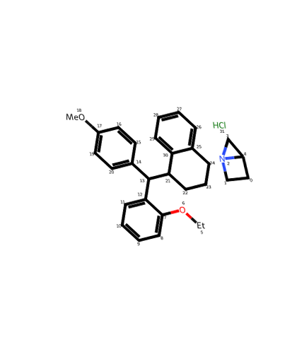 C1CN2CC12.CCOc1ccccc1C(c1ccc(OC)cc1)C1CCCc2ccccc21.Cl